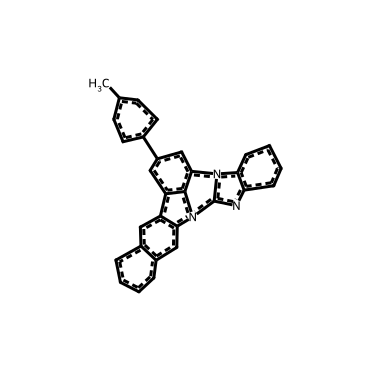 Cc1ccc(-c2cc3c4cc5ccccc5cc4n4c3c(c2)n2c3ccccc3nc24)cc1